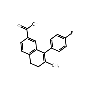 CC1=C(c2ccc(F)cc2)c2cc(C(=O)O)ccc2CC1